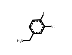 CCc1cc(CN)ccc1F